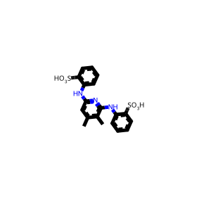 Cc1cc(Nc2ccccc2S(=O)(=O)O)nc(Nc2ccccc2S(=O)(=O)O)c1C